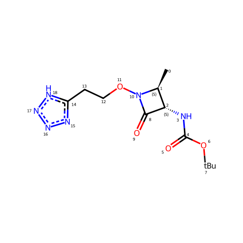 C[C@H]1[C@H](NC(=O)OC(C)(C)C)C(=O)N1OCCc1nnn[nH]1